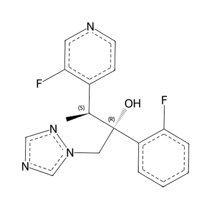 C[C@@H](c1ccncc1F)[C@](O)(Cn1cncn1)c1ccccc1F